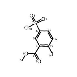 COC(=O)c1cc(S(=O)(=O)Cl)ccc1I